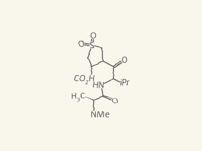 CNC(C)C(=O)NC(C(=O)C1CS(=O)(=O)CC1C(=O)O)C(C)C